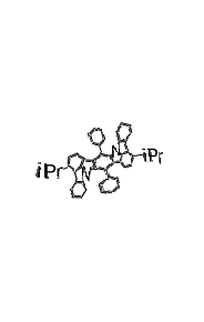 CC(C)c1ccc2c3c(-c4ccccc4)c4c(c(-c5ccccc5)c3n3c5ccccc5c1c23)c1ccc(C(C)C)c2c3ccccc3n4c12